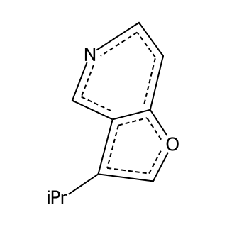 CC(C)c1coc2ccncc12